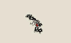 CC(C)(C)[C@H](NC(=O)c1cc2cc(C(F)(F)P(=O)(O)O)ccc2s1)C(=O)N1CCC[C@H]1C(=O)N1CCS(=O)(=O)[C@@H](c2ccccc2)C1